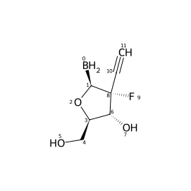 B[C@@H]1O[C@H](CO)[C@@H](O)[C@]1(F)C#C